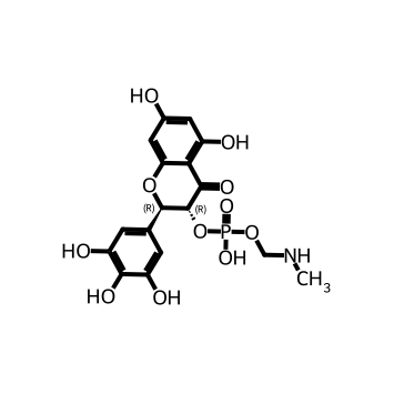 CNCOP(=O)(O)O[C@H]1C(=O)c2c(O)cc(O)cc2O[C@@H]1c1cc(O)c(O)c(O)c1